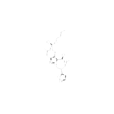 CCCCOC(=O)N1Cc2c(nn3c2C(=O)N(C)CC(c2ccno2)C3)CC1C